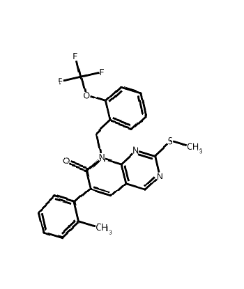 CSc1ncc2cc(-c3ccccc3C)c(=O)n(Cc3ccccc3OC(F)(F)F)c2n1